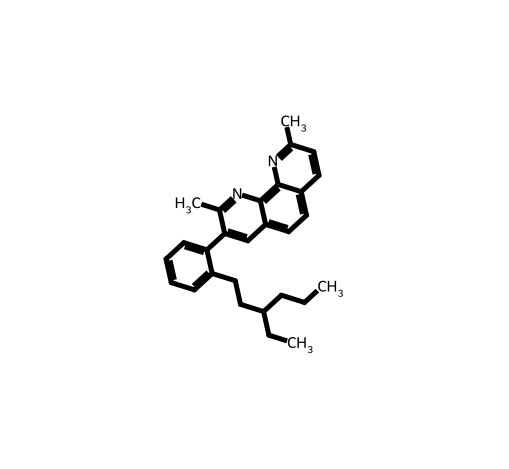 CCCC(CC)CCc1ccccc1-c1cc2ccc3ccc(C)nc3c2nc1C